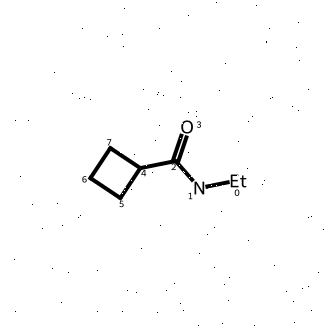 CC[N]C(=O)C1CCC1